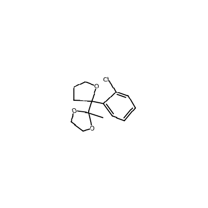 CC1(C2(c3ccccc3Cl)CCCO2)OCCO1